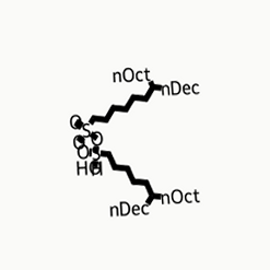 CCCCCCCCCCC(CCCCCCCC)CCCCCCS(=O)(=O)O[SH](=O)(O)CCCCCC(CCCCCCCC)CCCCCCCCCC